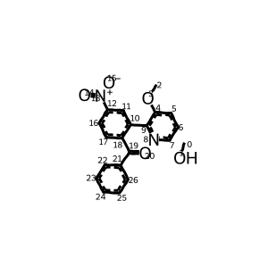 CO.COc1cccnc1-c1cc([N+](=O)[O-])ccc1C(=O)c1ccccc1